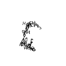 CC(C)(C)OC(=O)N1CCN(CCNC(=O)c2ccc(-c3ccc4nccc(C(=O)NCC(=O)N5CC(F)CC5C(=O)c5nc6ccccc6o5)c4c3)cc2)CC1